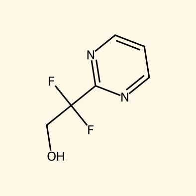 OCC(F)(F)c1ncccn1